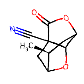 C[C@@H]1C2CC3(C#N)C(=O)OC1C3O2